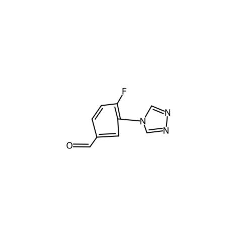 O=Cc1ccc(F)c(-n2cnnc2)c1